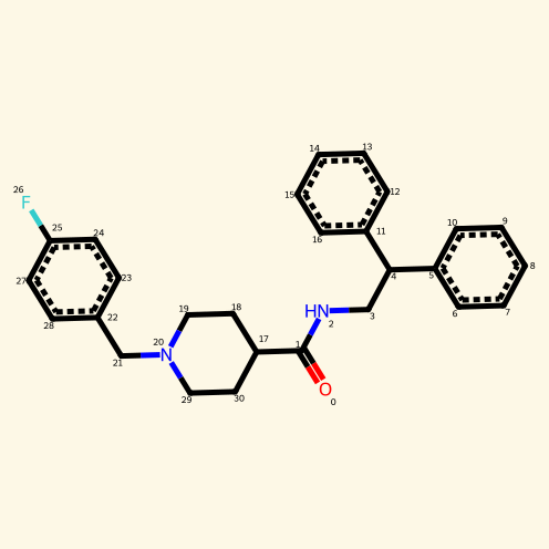 O=C(NCC(c1ccccc1)c1ccccc1)C1CCN(Cc2ccc(F)cc2)CC1